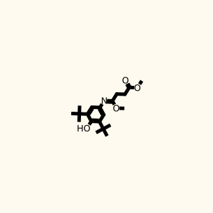 COC(=O)CCC(=Nc1cc(C(C)(C)C)c(O)c(C(C)(C)C)c1)OC